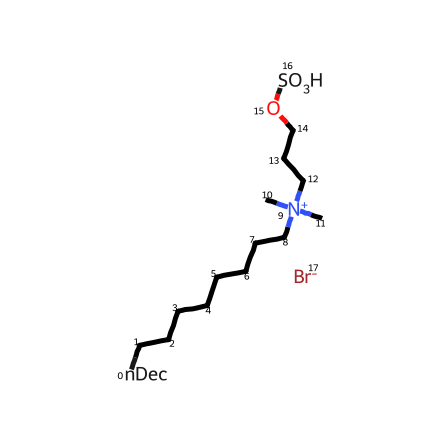 CCCCCCCCCCCCCCCCCC[N+](C)(C)CCCOS(=O)(=O)O.[Br-]